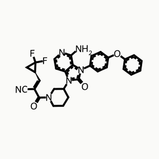 N#CC(=C[C@H]1CC1(F)F)C(=O)N1CCCC(n2c(=O)n(-c3ccc(Oc4ccccc4)cc3)c3c(N)nccc32)C1